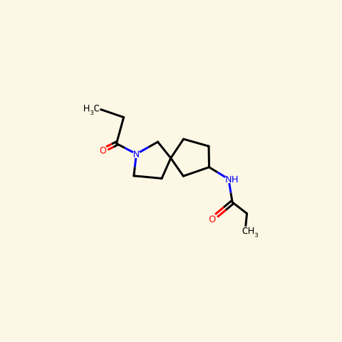 CCC(=O)NC1CCC2(CCN(C(=O)CC)C2)C1